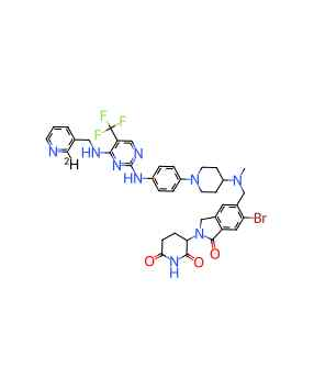 [2H]c1ncccc1CNc1nc(Nc2ccc(N3CCC(N(C)Cc4cc5c(cc4Br)C(=O)N(C4CCC(=O)NC4=O)C5)CC3)cc2)ncc1C(F)(F)F